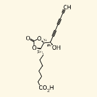 C#CC#CC#C[C@@H](O)[C@@H]1OC(=O)O[C@H]1CCCCCCC(=O)O